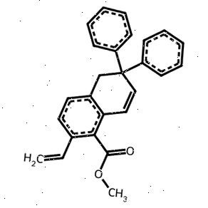 C=Cc1ccc2c(c1C(=O)OC)C=CC(c1ccccc1)(c1ccccc1)C2